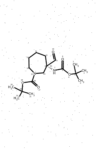 CC(C)(C)OC(=O)N[C@@]1(C=O)CCCCN(C(=O)OC(C)(C)C)C1